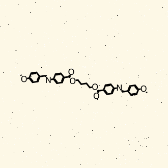 COc1ccc(C=Nc2ccc(C(=O)OCCCCOC(=O)c3ccc(N=Cc4ccc(OC)cc4)cc3)cc2)cc1